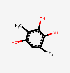 Cc1cc(O)c(C)c(O)c1O